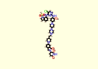 COc1cc(N2CCC(N3CCN(CCC4CCN(c5ccc6c(c5)C(=O)N(C5CCC(=O)NC5=O)C6)CC4)CC3)CC2)ccc1Nc1ncc(Cl)c(Nc2cccc3c2N(S(C)(=O)=O)CC3)n1